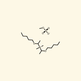 CCCCCOC(C)[N+](C)(C)C(C)OCCCCC.COS(=O)(=O)[O-]